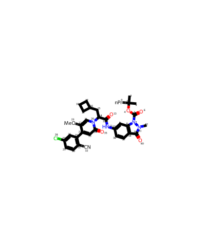 CCCC(C)(C)OC(=O)n1c2cc(NC(=O)C(CC3CCC3)n3cc(OC)c(-c4cc(Cl)ccc4C#N)cc3=O)ccc2c(=O)n1C